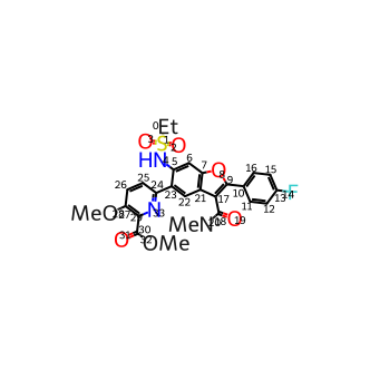 CCS(=O)(=O)Nc1cc2oc(-c3ccc(F)cc3)c(C(=O)NC)c2cc1-c1ccc(OC)c(C(=O)OC)n1